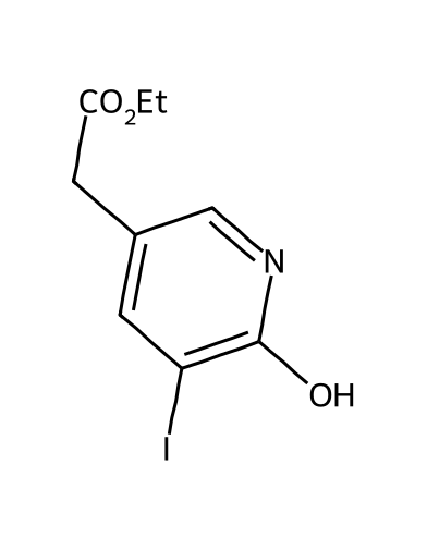 CCOC(=O)Cc1cnc(O)c(I)c1